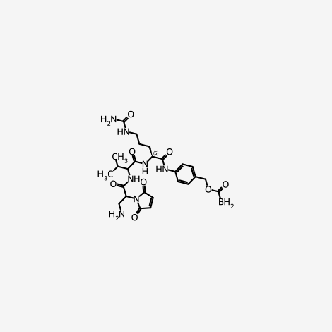 BC(=O)OCc1ccc(NC(=O)[C@H](CCCNC(N)=O)NC(=O)C(NC(=O)C(CN)N2C(=O)C=CC2=O)C(C)C)cc1